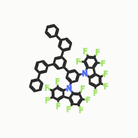 Fc1cc2c(c(F)c1F)c1c(F)c(F)c(F)c(F)c1n2-c1cc(-c2cc(-c3cccc(-c4ccccc4)c3)cc(-c3cccc(-c4ccccc4)c3)c2)cc(-n2c3c(F)c(F)c(F)c(F)c3c3c(F)c(F)c(F)c(F)c32)c1